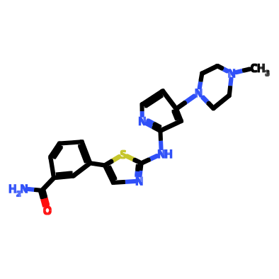 CN1CCN(c2ccnc(Nc3ncc(-c4cccc(C(N)=O)c4)s3)c2)CC1